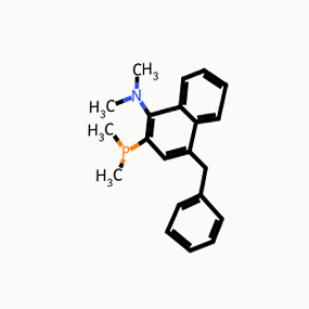 CN(C)c1c(P(C)C)cc(Cc2ccccc2)c2ccccc12